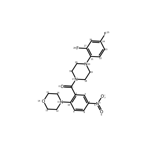 O=C(c1cc([N+](=O)[O-])ccc1N1CCOCC1)N1CCN(c2ccc(F)cc2F)CC1